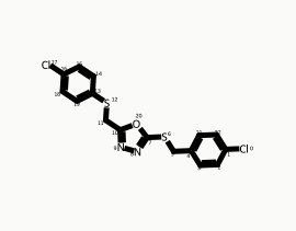 Clc1ccc(CSc2nnc(CSc3ccc(Cl)cc3)o2)cc1